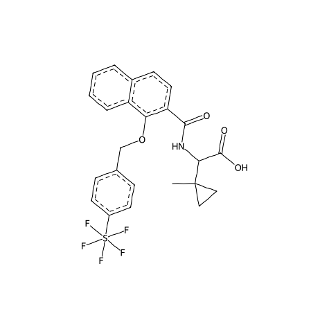 CC1(C(NC(=O)c2ccc3ccccc3c2OCc2ccc(S(F)(F)(F)(F)F)cc2)C(=O)O)CC1